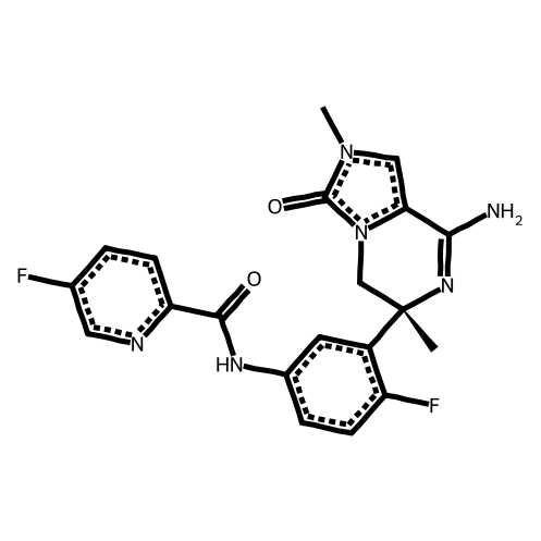 Cn1cc2n(c1=O)C[C@@](C)(c1cc(NC(=O)c3ccc(F)cn3)ccc1F)N=C2N